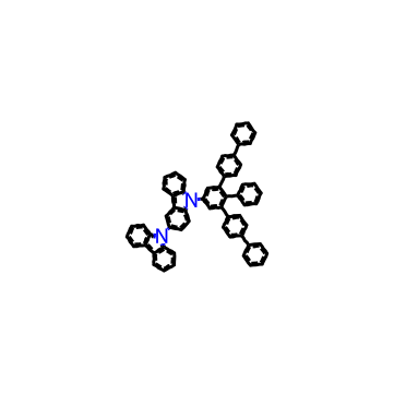 c1ccc(-c2ccc(-c3cc(-n4c5ccccc5c5cc(-n6c7ccccc7c7ccccc76)ccc54)cc(-c4ccc(-c5ccccc5)cc4)c3-c3ccccc3)cc2)cc1